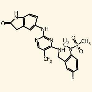 CN(c1ccc(F)cc1CNc1nc(Nc2ccc3c(c2)CC(=O)N3)ncc1C(F)(F)F)S(C)(=O)=O